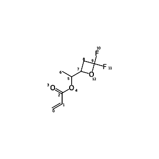 C=CC(=O)OC(C)C1CC(F)(F)O1